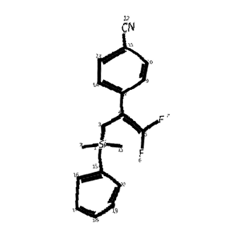 C[Si](C)(CC(=C(F)F)c1ccc(C#N)cc1)c1ccccc1